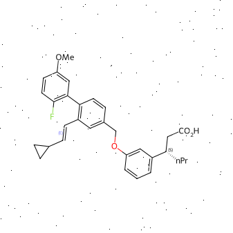 CCC[C@@H](CC(=O)O)c1cccc(OCc2ccc(-c3cc(OC)ccc3F)c(/C=C/C3CC3)c2)c1